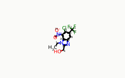 CCn1c(CO)nc2cc(C(F)(F)F)c(Cl)c([N+](=O)[O-])c21